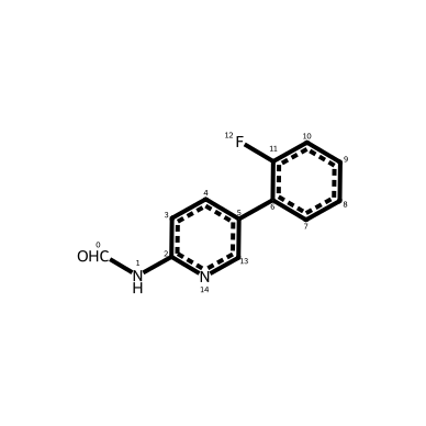 O=CNc1ccc(-c2ccccc2F)cn1